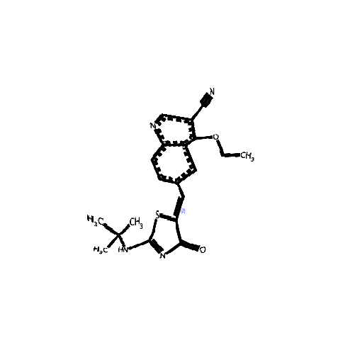 CCOc1c(C#N)cnc2ccc(/C=C3\SC(NC(C)(C)C)=NC3=O)cc12